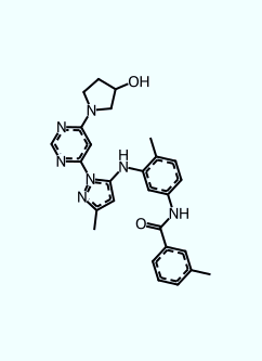 Cc1cccc(C(=O)Nc2ccc(C)c(Nc3cc(C)nn3-c3cc(N4CCC(O)C4)ncn3)c2)c1